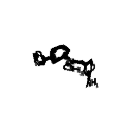 CN(CC1COC(N)=N1)c1cccc(-c2cnco2)c1